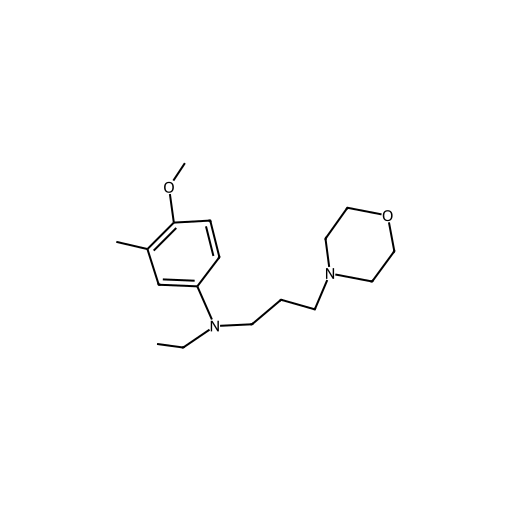 CCN(CCCN1CCOCC1)c1ccc(OC)c(C)c1